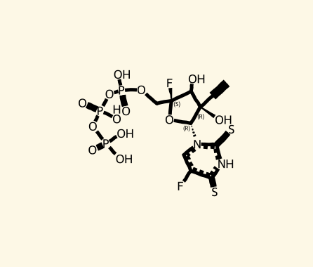 C#C[C@@]1(O)C(O)[C@@](F)(COP(=O)(O)OP(=O)(O)OP(=O)(O)O)O[C@H]1n1cc(F)c(=S)[nH]c1=S